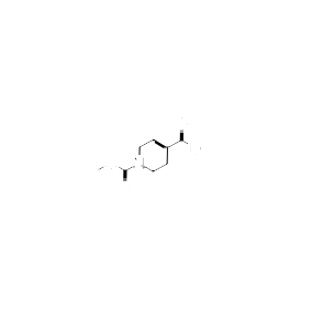 COC(=O)N1CC=C(C(=O)O)CC1